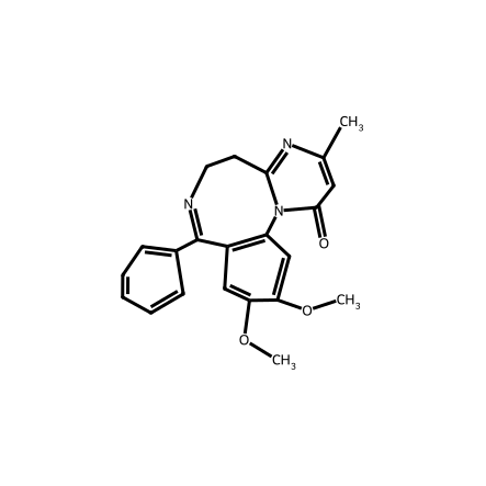 COc1cc2c(cc1OC)-n1c(nc(C)cc1=O)CC/N=C\2c1ccccc1